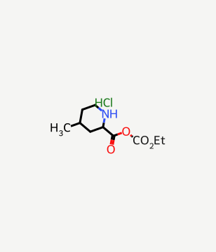 CCOC(=O)OC(=O)C1CC(C)CCN1.Cl